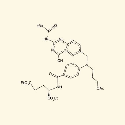 CCOC(=O)CC[C@@H](NC(=O)c1ccc(N(CCCOC(C)=O)Cc2ccc3nc(NC(=O)C(C)(C)C)nc(O)c3c2)cc1)C(=O)OCC